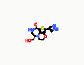 O=C1NC[C@@H](CO)N2CCOc3c(-c4cn[nH]c4)sc1c32